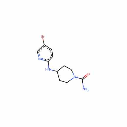 NC(=O)N1CCC(Nc2ccc(Br)cn2)CC1